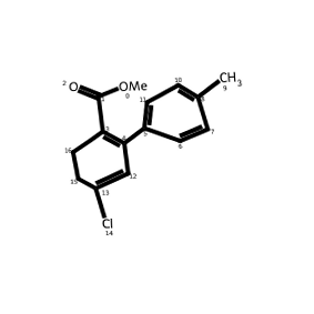 COC(=O)C1=C(c2ccc(C)cc2)C=C(Cl)CC1